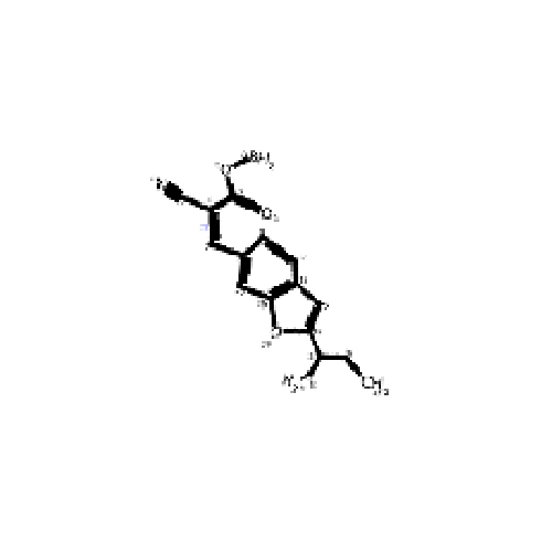 BOC(=O)/C(C#N)=C\c1ccc2cc(C(C)CC)oc2c1